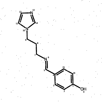 Oc1ccc(C=NCCCn2ccnc2)cc1